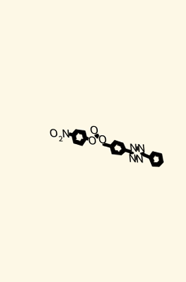 O=C(OCc1ccc(-c2nnc(-c3ccccc3)nn2)cc1)Oc1ccc([N+](=O)[O-])cc1